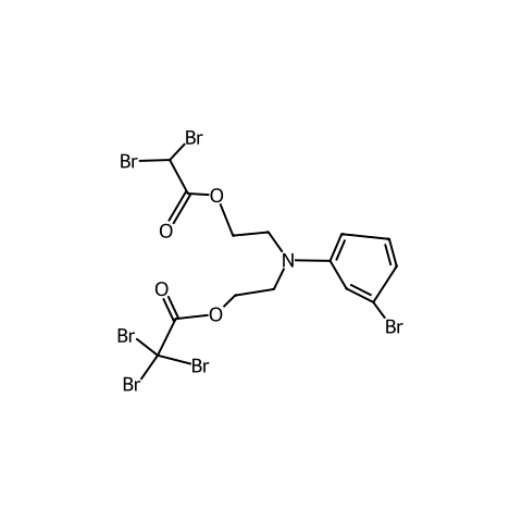 O=C(OCCN(CCOC(=O)C(Br)(Br)Br)c1cccc(Br)c1)C(Br)Br